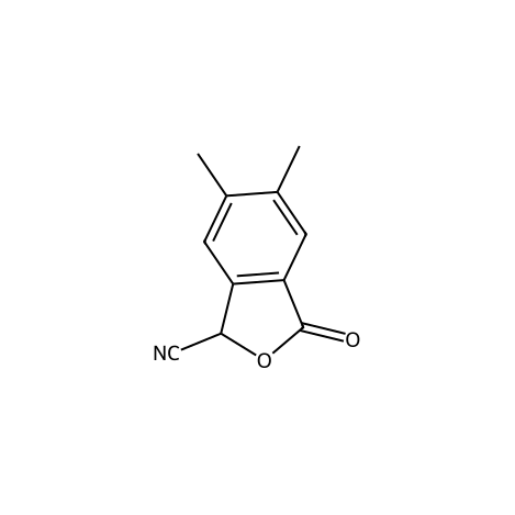 Cc1cc2c(cc1C)C(C#N)OC2=O